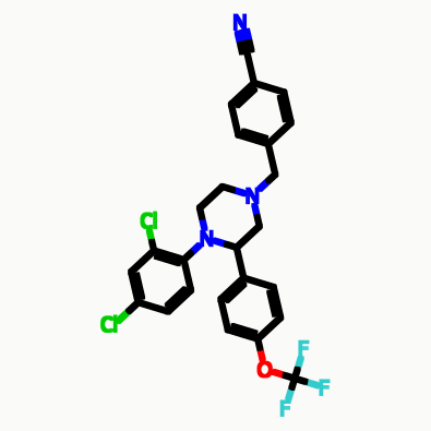 N#Cc1ccc(CN2CCN(c3ccc(Cl)cc3Cl)C(c3ccc(OC(F)(F)F)cc3)C2)cc1